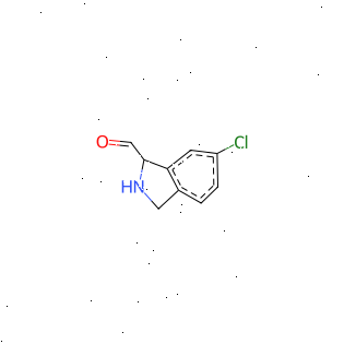 O=CC1NCc2ccc(Cl)cc21